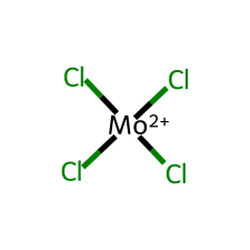 [Cl][Mo+2]([Cl])([Cl])[Cl]